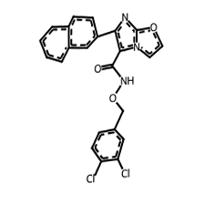 O=C(NOCc1ccc(Cl)c(Cl)c1)c1c(-c2ccc3ccccc3c2)nc2occn12